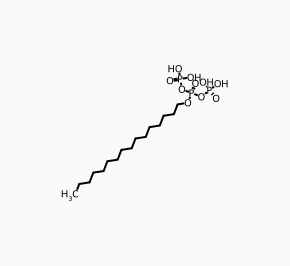 CCCCCCCCCCCCCCCCOP(=O)(OP(=O)(O)O)OP(=O)(O)O